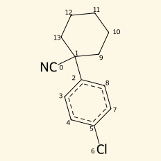 N#CC1(c2ccc(Cl)cc2)CCCCC1